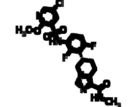 CNC(=O)c1ncn2c1CC[C@@H](c1c(F)ccc(NS(=O)(=O)c3cc(Cl)cnc3OC)c1F)C2